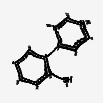 Sc1ccccc1-c1ccncn1